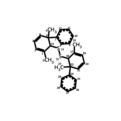 CC1=CC=CC(C)(c2ccccc2)C1SSC1C(C)=CC=CC1(C)c1ccccc1